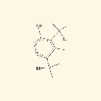 CCC(C)(C)c1ccc(O)c(C(C)(C)CC)c1C